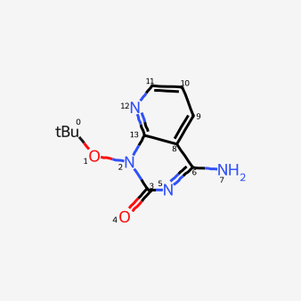 CC(C)(C)On1c(=O)nc(N)c2cccnc21